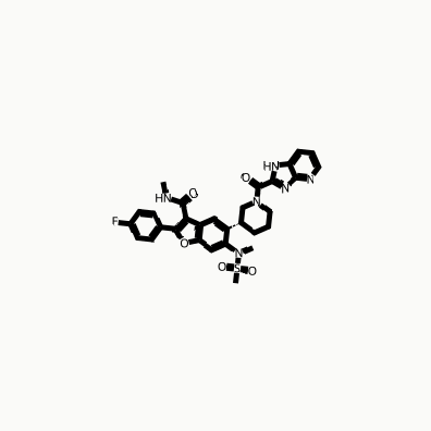 CNC(=O)c1c(-c2ccc(F)cc2)oc2cc(N(C)S(C)(=O)=O)c([C@H]3CCCN(C(=O)c4nc5ncccc5[nH]4)C3)cc12